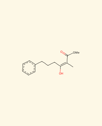 COC(=O)C(C)=C(O)CCCc1ccccc1